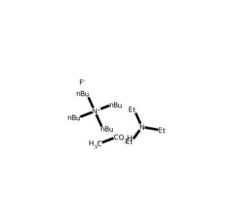 CC(=O)O.CCCC[N+](CCCC)(CCCC)CCCC.CCN(CC)CC.[F-]